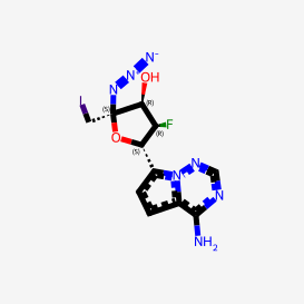 [N-]=[N+]=N[C@]1(CI)O[C@@H](c2ccc3c(N)ncnn23)[C@H](F)[C@@H]1O